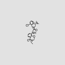 CCN1CCOc2c(NCC(=O)N(CCN(C)C)Cc3ncccc3Cl)cccc2C1=O